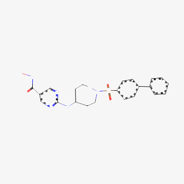 O=C(NO)c1cnc(NC2CCCN(S(=O)(=O)c3ccc(-c4ccccc4)cc3)CC2)nc1